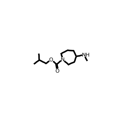 CNC1CCCN(C(=O)OCC(C)C)CC1